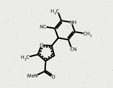 CNC(=O)c1cc(C2C(C#N)=C(C)NC(C)=C2C#N)oc1C